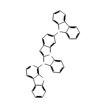 c1ccc2c(c1)oc1c(-n3c4ccccc4n4c5cc(-n6c7ccccc7c7ccccc76)ccc5cc34)nccc12